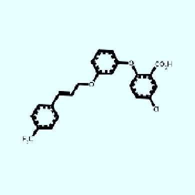 O=C(O)c1cc(Cl)ccc1Oc1cccc(OCC=Cc2ccc(C(F)(F)F)cc2)c1